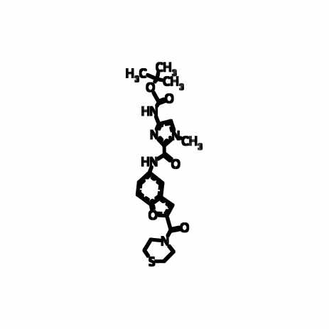 Cn1cc(NC(=O)OC(C)(C)C)nc1C(=O)Nc1ccc2oc(C(=O)N3CCSCC3)cc2c1